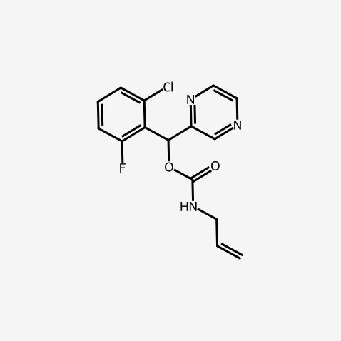 C=CCNC(=O)OC(c1cnccn1)c1c(F)cccc1Cl